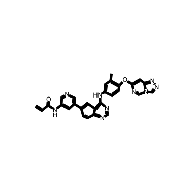 C=CC(=O)Nc1cncc(-c2ccc3ncnc(Nc4ccc(Oc5cc6nncn6cn5)c(C)c4)c3c2)c1